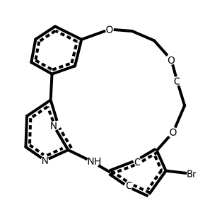 Brc1ccc2cc1OCCOCCOc1cccc(c1)-c1ccnc(n1)N2